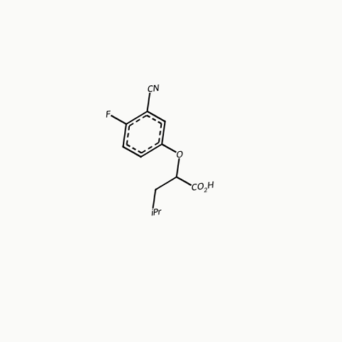 CC(C)CC(Oc1ccc(F)c(C#N)c1)C(=O)O